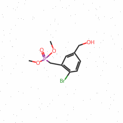 COP(=O)(Cc1cc(CO)ccc1Br)OC